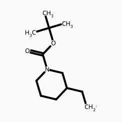 [CH2]CC1CCCN(C(=O)OC(C)(C)C)C1